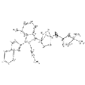 CC#Cc1c(-c2cnc3ccccc3c2)c2c(N)ncnc2n1C12CCC(NC(=O)OC(C)(C)C)(CC1)C2